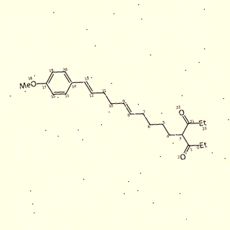 CCC(=O)C(CCCCC=CCCC=Cc1ccc(OC)cc1)C(=O)CC